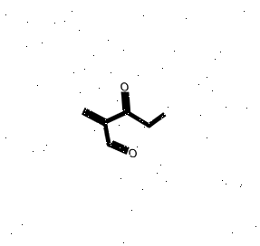 C=C(C=O)C(=O)CC